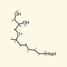 CCCCCCCCCCCCC(C)OCC(O)CO